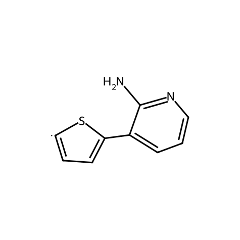 Nc1ncccc1-c1cc[c]s1